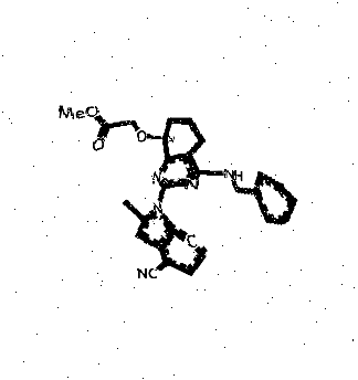 COC(=O)CO[C@H]1CCCc2c(NCc3ccccc3)nc(-n3c(C)cc4c(C#N)cccc43)nc21